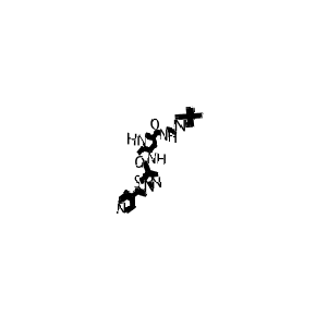 CC1NC=C(C(=O)NCCN2CC(C)(C)C2)C=C1NC(=O)c1cnn2cc(-c3ccncc3)sc12